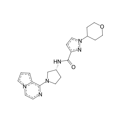 O=C(N[C@@H]1CCN(c2nccn3cccc23)C1)c1ccn(C2CCOCC2)n1